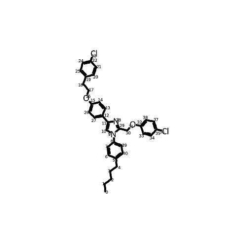 CCCCCc1ccc(-n2cc(-c3ccc(OCCc4ccc(Cl)cc4)cc3)nc2COc2ccc(Cl)cc2)cc1